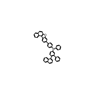 c1ccc(-c2cc(N(c3ccccc3)c3ccc(-c4ccc5c(c4)oc4ccc6ccccc6c45)cc3)ccc2-c2cccc3ccccc23)cc1